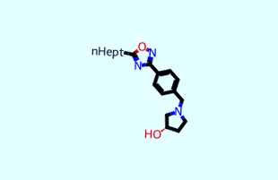 CCCCCCCc1nc(-c2ccc(CN3CC[C@H](O)C3)cc2)no1